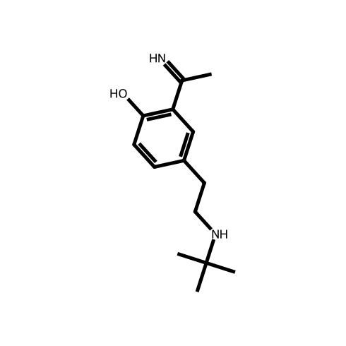 CC(=N)c1cc(CCNC(C)(C)C)ccc1O